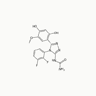 COc1cc(-c2nnc(NC(N)=O)n2-c2cccc(F)c2F)c(O)cc1O